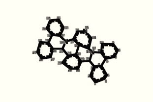 c1ccc2c(c1)-c1ccccc1N1c3cncc4c3-c3c(cccc3C3c5ccccc5-c5ccccc5N43)C21